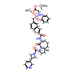 CCCOC(=O)[C@H](COC)NP(=O)(Cc1ccc2sc(C(=O)N[C@H]3CCC[C@H]4CC[C@@H](C(=O)N5CC(c6cccnc6)C5)N4C3=O)cc2c1)Oc1ccccc1